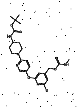 CNC(=O)OCc1cc(Cl)nc(Oc2ccc(N3CCC(NC(=O)OC(C)(C)C)CC3)nc2)c1